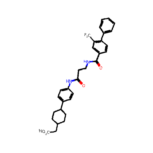 O=C(O)CC1CCC(c2ccc(NC(=O)CCNC(=O)c3ccc(-c4ccccc4)c(C(F)(F)F)c3)cc2)CC1